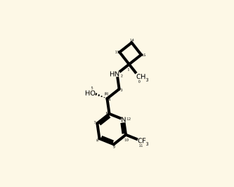 CC1(NC[C@@H](O)c2cccc(C(F)(F)F)n2)CCC1